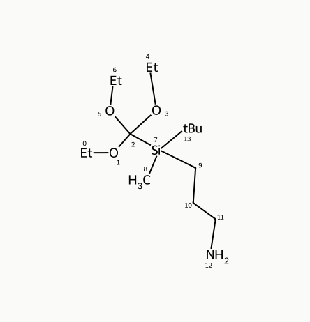 CCOC(OCC)(OCC)[Si](C)(CCCN)C(C)(C)C